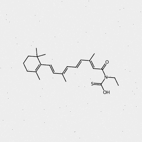 CCN(C(=O)C=C(C)C=CC=C(C)C=CC1=C(C)CCCC1(C)C)C(O)=S